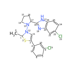 CC1SC(c2cccc(Cl)c2)=[C]N1N1CCCC1c1nc2cc(Cl)ccc2[nH]1